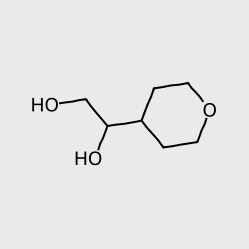 OCC(O)C1CCOCC1